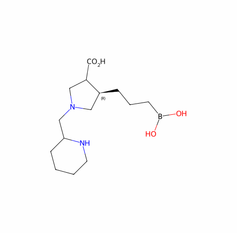 O=C(O)C1CN(CC2CCCCN2)C[C@@H]1CCCB(O)O